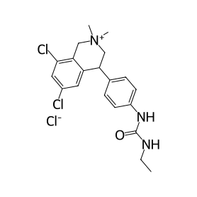 CCNC(=O)Nc1ccc(C2C[N+](C)(C)Cc3c(Cl)cc(Cl)cc32)cc1.[Cl-]